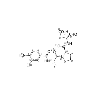 C[C@H](NC(=O)c1ccc(N)c(Cl)c1)C(=O)N1CCC[C@@H]1C(=O)N[C@H](C=O)CC(=O)O